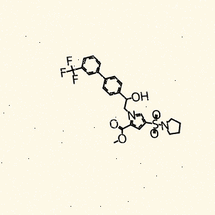 COC(=O)c1cc(S(=O)(=O)N2CCCC2)cn1CC(O)c1ccc(-c2cccc(C(F)(F)F)c2)cc1